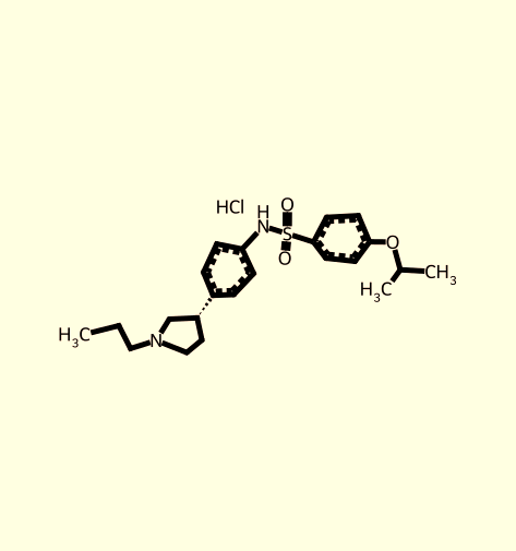 CCCN1CC[C@@H](c2ccc(NS(=O)(=O)c3ccc(OC(C)C)cc3)cc2)C1.Cl